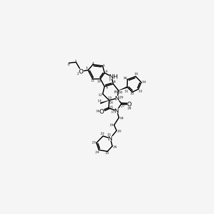 CCOc1ccc2[nH]c3c(c2c1)C[C@@]1(C)C(=O)N(CCCN2CC=CCC2)C(=O)N1[C@@H]3c1ccccc1